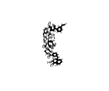 CCc1cccc(-c2cnc(C(=O)N3CCC(CN4CCN(CC(=O)N5CCN(C(=O)c6cc(Cc7n[nH]c(=O)c8ccccc78)ccc6F)CC5)CC4)CC3)c(NC(=O)CNCc3ccnnc3)c2)c1